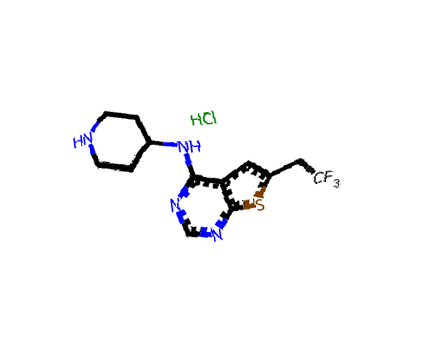 Cl.FC(F)(F)Cc1cc2c(NC3CCNCC3)ncnc2s1